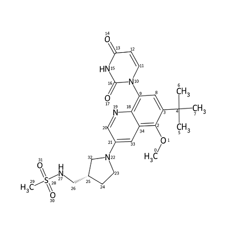 COc1c(C(C)(C)C)cc(-n2ccc(=O)[nH]c2=O)c2ncc(N3CC[C@H](CNS(C)(=O)=O)C3)cc12